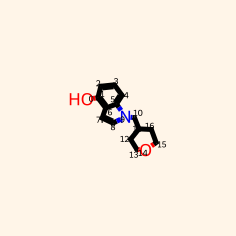 Oc1cccc2c1[c]cn2CC1CCOCC1